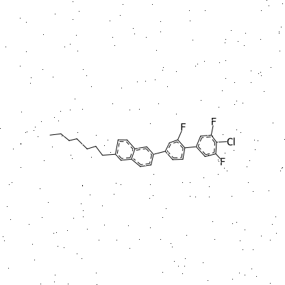 CCCCCCCc1ccc2cc(-c3ccc(-c4cc(F)c(Cl)c(F)c4)c(F)c3)ccc2c1